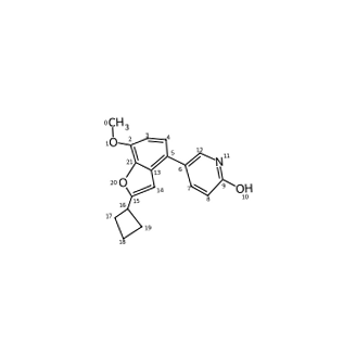 COc1ccc(-c2ccc(O)nc2)c2cc(C3CCC3)oc12